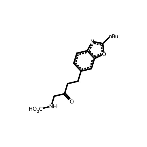 CCCCc1nc2ccc(CCC(=O)CNC(=O)O)cc2o1